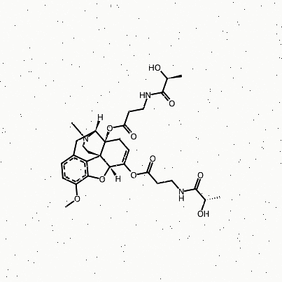 COc1ccc2c3c1O[C@H]1C(OC(=O)CCNC(=O)[C@H](C)O)=CC[C@@]4(OC(=O)CCNC(=O)[C@H](C)O)[C@@H](C2)N(C)CC[C@]314